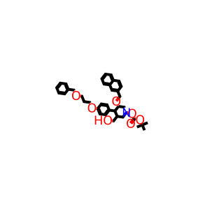 CC(C)(C)OC(=O)ON1CC(CO)C(c2ccc(OCCCOCc3ccccc3)cc2)C(OCc2ccc3ccccc3c2)C1